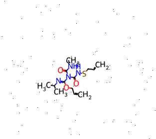 C=CCOC(=NC(C)C)N(C(=O)NC)C(=O)NSCC=C